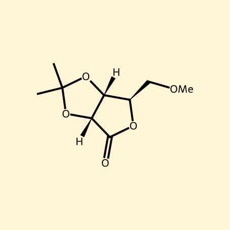 COC[C@H]1OC(=O)[C@@H]2OC(C)(C)O[C@H]12